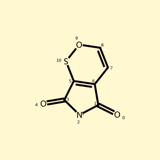 O=C1[N]C(=O)C2=C1C=COS2